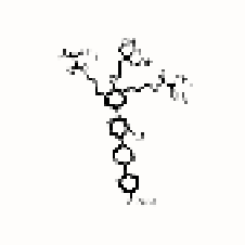 C=C(C)C(=O)OCCCc1cc(-c2ccc(C3=CCC(c4ccc(CCCCC)cc4)C=C3)c(CC)c2)cc(CCCOC(=O)C(=C)C)c1OCCC(CC)(CO)CO